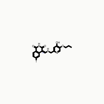 CCCOc1cnc(CN/C=C2\C(=O)NC(=O)c3ccc(I)cc32)cc1O